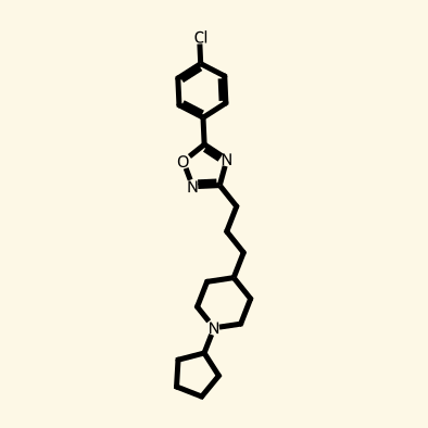 Clc1ccc(-c2nc(CCCC3CCN(C4CCCC4)CC3)no2)cc1